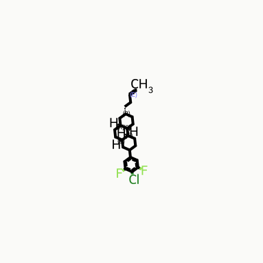 C/C=C/CC[C@@H]1CC[C@H]2[C@H](CC[C@H]3CC(c4cc(F)c(Cl)c(F)c4)CC[C@@H]32)C1